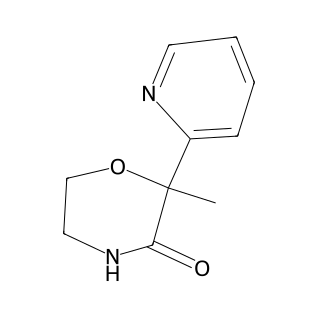 CC1(c2ccccn2)OCCNC1=O